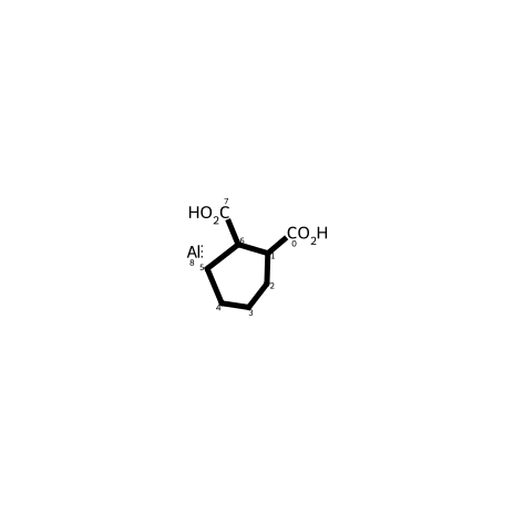 O=C(O)C1CCCCC1C(=O)O.[Al]